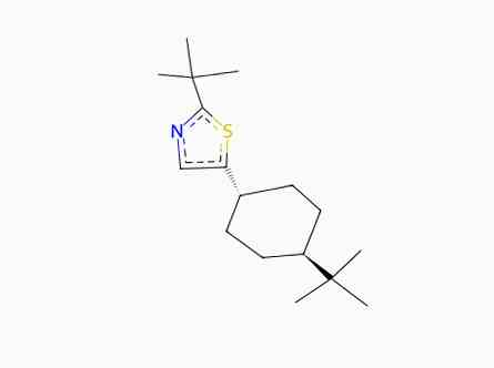 CC(C)(C)c1ncc([C@H]2CC[C@H](C(C)(C)C)CC2)s1